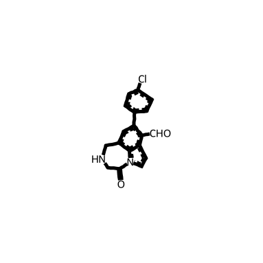 O=Cc1c(-c2ccc(Cl)cc2)cc2c3c1ccn3C(=O)CNC2